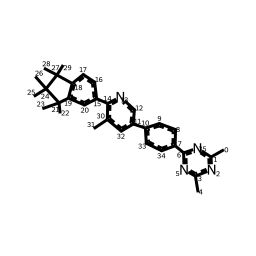 Cc1nc(C)nc(-c2ccc(-c3cnc(-c4ccc5c(c4)C(C)(C)C(C)(C)C5(C)C)c(C)c3)cc2)n1